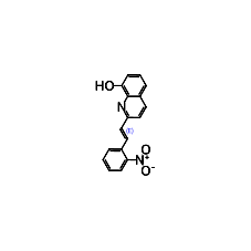 O=[N+]([O-])c1ccccc1/C=C/c1ccc2cccc(O)c2n1